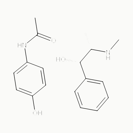 CC(=O)Nc1ccc(O)cc1.CN[C@@H](C)[C@@H](O)c1ccccc1